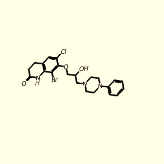 O=C1CCc2cc(Cl)c(OCC(O)CN3CCN(c4ccccc4)CC3)c(Br)c2N1